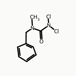 CN(Cc1ccccc1)C(=O)N(Cl)Cl